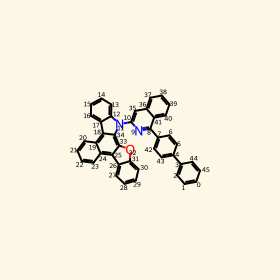 c1ccc(-c2ccc(-c3nc(-n4c5ccccc5c5c6ccccc6c6c7ccccc7oc6c54)cc4ccccc34)cc2)cc1